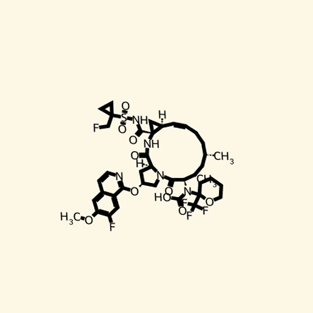 COc1cc2ccnc(O[C@@H]3C[C@H]4C(=O)N[C@]5(C(=O)NS(=O)(=O)C6(CF)CC6)C[C@H]5/C=C\CC[C@H](C)C[C@@H](C)[C@H](N(C(=O)O)C5(C(F)(F)F)CCCCO5)C(=O)N4C3)c2cc1F